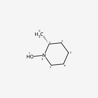 C[C@@H]1CCCCN1O